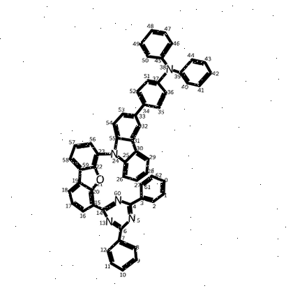 c1ccc(-c2nc(-c3ccccc3)nc(-c3cccc4c3oc3c(-n5c6ccccc6c6cc(-c7ccc(N(c8ccccc8)c8ccccc8)cc7)ccc65)cccc34)n2)cc1